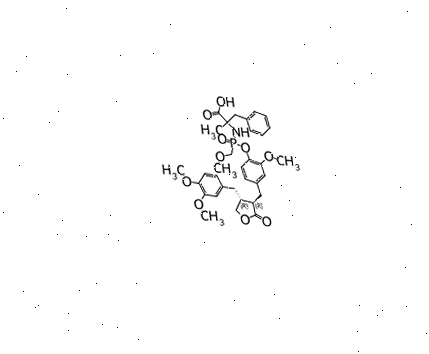 COCP(=O)(NC(C)(Cc1ccccc1)C(=O)O)Oc1ccc(C[C@H]2C(=O)OC[C@@H]2Cc2ccc(OC)c(OC)c2)cc1OC